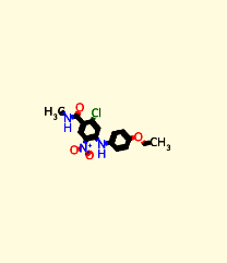 CCOc1ccc(Nc2cc(Cl)c(C(=O)NC)cc2[N+](=O)[O-])cc1